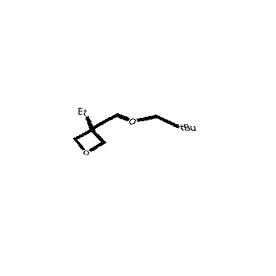 CCC1(COCC(C)(C)C)COC1